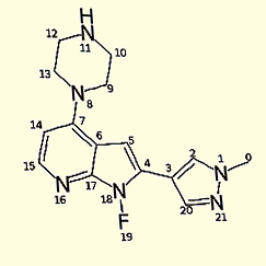 Cn1cc(-c2cc3c(N4CCNCC4)ccnc3n2F)cn1